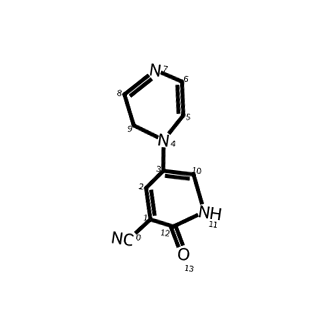 N#Cc1cc(N2C=CN=CC2)c[nH]c1=O